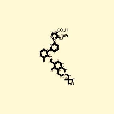 Cc1cccc(-c2cccc(-n3ncc(C(=O)O)c3OC(C)C)n2)c1OCc1ccc2c(c1C)CCN(CC1(C)COC1)C2